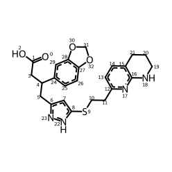 O=C(O)CC(Cc1cc(SCCc2ccc3c(n2)NCCC3)[nH]n1)c1ccc2c(c1)OCO2